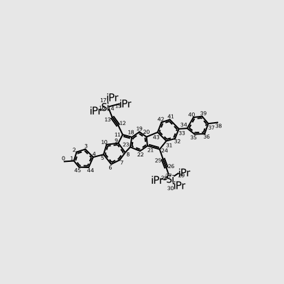 Cc1ccc(-c2ccc3c(c2)C(C#C[Si](C(C)C)(C(C)C)C(C)C)=c2cc4c(cc2-3)=C(C#C[Si](C(C)C)(C(C)C)C(C)C)c2cc(-c3ccc(C)cc3)ccc2-4)cc1